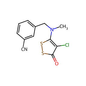 CN(Cc1cccc(C#N)c1)c1ssc(=O)c1Cl